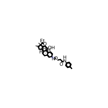 CCC(=O)[C@@]1(C)[C@H](C)C[C@H]2[C@@H]3CCC4=C/C(=N/OCCC(=O)Nc5ccc(C)cc5)C=C[C@]4(C)[C@H]3[C@@H](O)C[C@@]21C